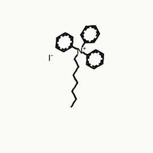 CCCCCCC[N+](c1ccccc1)(c1ccccc1)c1ccccc1.[I-]